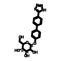 OCC1O[C@H](Oc2ccc(-c3ccc(-c4nnn[nH]4)cc3)cc2)C(O)[C@@H](O)[C@@H]1O